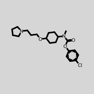 CN(C(=O)Oc1ccc(Cl)cc1)C1CCC(OCCCN2CCCC2)CC1